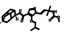 COC(=O)NC(C)(C)/C=C/n1ncc(C(=O)N[C@H]2C3CC4CC2C[C@](C)(C4)C3)c1OCC(C)C